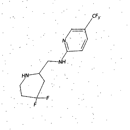 FC1(F)CCNC(CNc2ccc(C(F)(F)F)cn2)C1